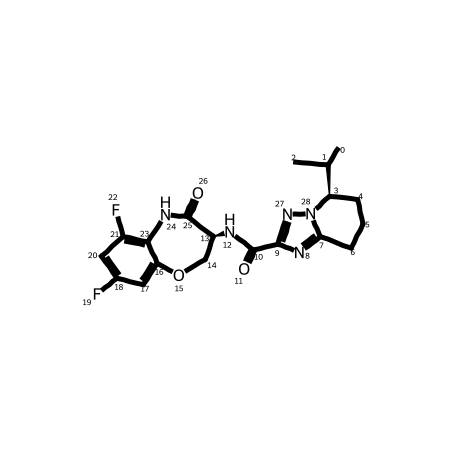 CC(C)[C@H]1CCCc2nc(C(=O)N[C@H]3COc4cc(F)cc(F)c4NC3=O)nn21